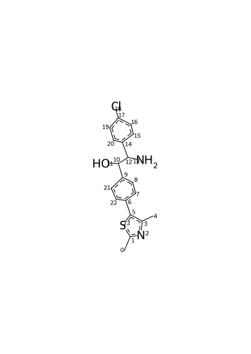 Cc1nc(C)c(-c2ccc(C(O)C(N)c3ccc(Cl)cc3)cc2)s1